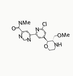 CNC(=O)c1cc(-c2cc([C@@H]3OCCN[C@H]3COC)cc(Cl)n2)ncn1